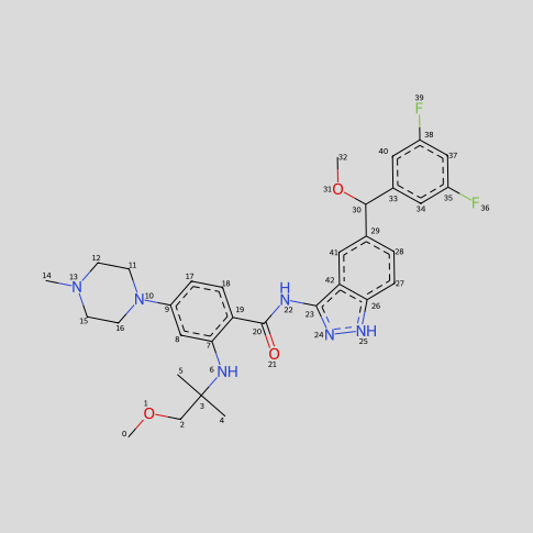 COCC(C)(C)Nc1cc(N2CCN(C)CC2)ccc1C(=O)Nc1n[nH]c2ccc(C(OC)c3cc(F)cc(F)c3)cc12